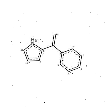 C=C(c1ccccc1)c1ccc[nH]1